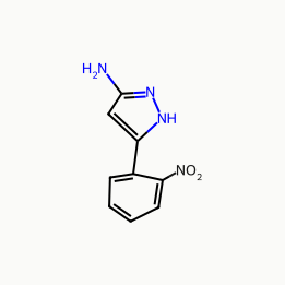 Nc1cc(-c2ccccc2[N+](=O)[O-])[nH]n1